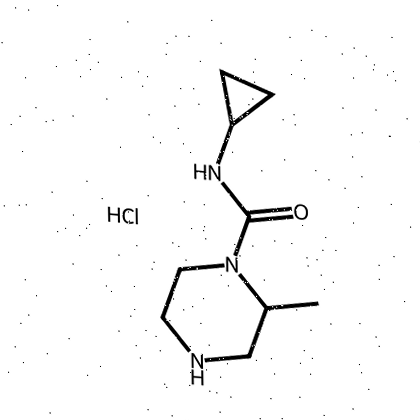 CC1CNCCN1C(=O)NC1CC1.Cl